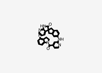 O=C(c1ccnc(Nc2ccc3c(c2)CC2(C3)C(=O)Nc3ncccc32)c1)N1CCc2c(F)cccc21